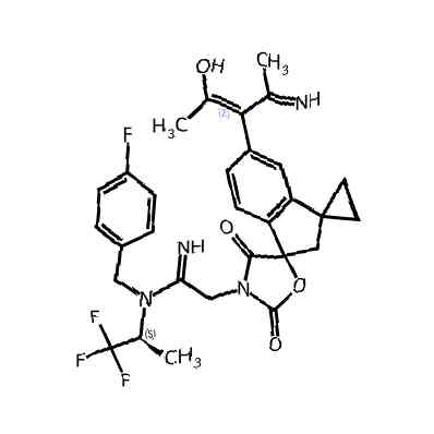 CC(=N)/C(=C(/C)O)c1ccc2c(c1)C1(CC1)CC21OC(=O)N(CC(=N)N(Cc2ccc(F)cc2)[C@@H](C)C(F)(F)F)C1=O